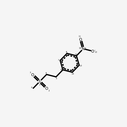 CS(=O)(=O)CCc1ccc([N+](=O)[O-])cc1